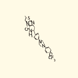 Cc1cn2c3c(nc2s1)CC(c1ccc(N2CCN(c4ccc(OC(F)(F)F)cc4)CC2)cc1)NC3=O